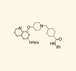 CCCCCCc1cc(OC2CCN(CC3CCC(C(=O)NC(C)C)CC3)CC2)c2ncccc2c1